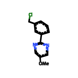 COc1cnc(-c2cccc(CCl)c2)nc1